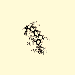 CCCc1nc(N[C@H](C)c2cccc(C(F)(F)C(C)(C)O)c2)c2cc(C3(C#N)CC3)c(OC)nc2n1